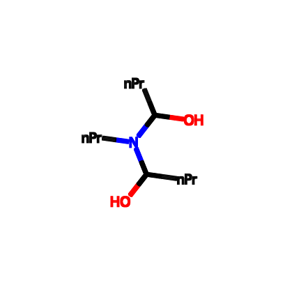 CCCC(O)N(CCC)C(O)CCC